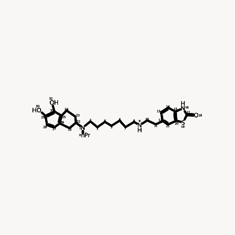 CCCN(CCCCCCCNCCc1ccc2[nH]c(=O)sc2c1)C1CCc2c(ccc(O)c2O)C1